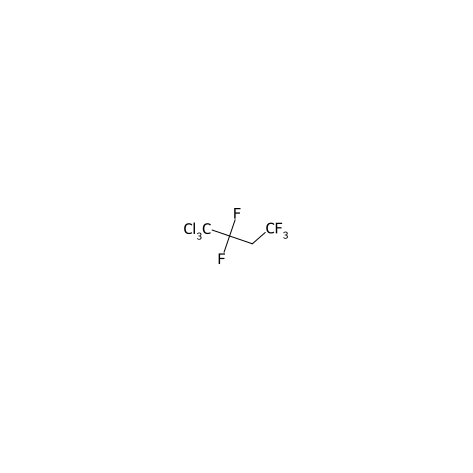 FC(F)(F)CC(F)(F)C(Cl)(Cl)Cl